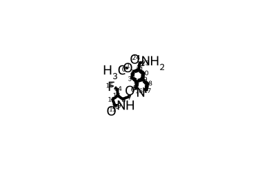 COc1cc2c(OCC3NC(=O)CC3CF)nccc2cc1C(N)=O